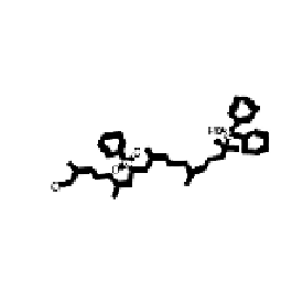 C/C(=C/CC/C(C)=C\C(C/C(C)=C\CC/C(C)=C\CCC(C)(C)[Si](O)(c1ccccc1)c1ccccc1)S(=O)(=O)c1ccccc1)CCl